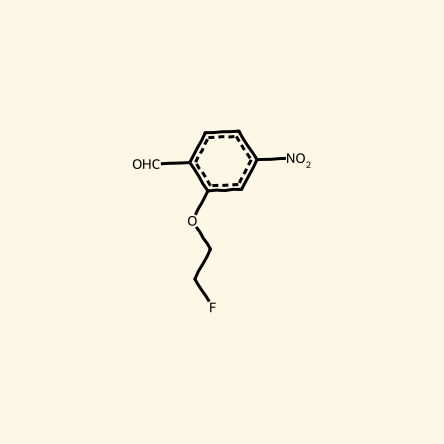 O=Cc1ccc([N+](=O)[O-])cc1OCCF